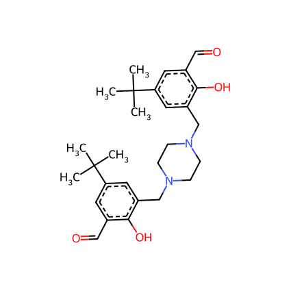 CC(C)(C)c1cc(C=O)c(O)c(CN2CCN(Cc3cc(C(C)(C)C)cc(C=O)c3O)CC2)c1